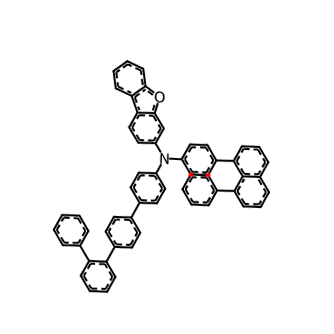 c1ccc(-c2ccccc2-c2ccc(-c3ccc(N(c4ccc(-c5cccc6cccc(-c7ccccc7)c56)cc4)c4ccc5c(c4)oc4ccccc45)cc3)cc2)cc1